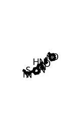 Cc1nnc(-c2ccc3nnc(NC(=O)CN4CCOCC4C)cc3c2)s1